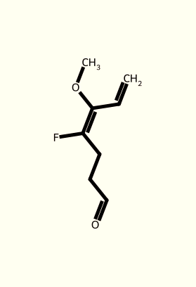 C=C/C(OC)=C(/F)CCC=O